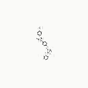 Cc1cccc(C)c1/N=C1\SCC(=O)N1/N=C/c1ccc(-c2nc(I)n(-c3ccc(OC(F)(F)F)cc3)n2)cc1